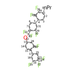 CCCc1ccc(-c2ccc(C(F)(F)Oc3ccc(-c4cc(F)c(F)c(F)c4)c(F)c3)c(F)c2)c(F)c1F